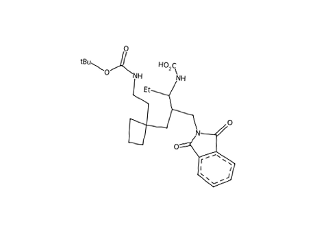 CCC(NC(=O)O)C(CN1C(=O)c2ccccc2C1=O)CC1(CCNC(=O)OC(C)(C)C)CCC1